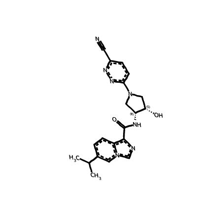 CC(C)c1ccc2c(C(=O)N[C@@H]3CN(c4ccc(C#N)nn4)C[C@@H]3O)ncn2c1